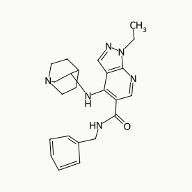 CCn1ncc2c(NC3CN4CCC3CC4)c(C(=O)NCc3ccccc3)cnc21